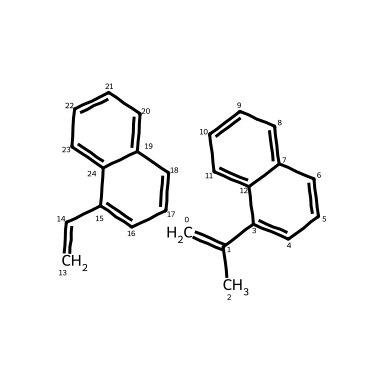 C=C(C)c1cccc2ccccc12.C=Cc1cccc2ccccc12